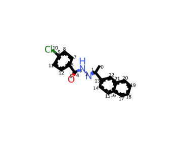 CC(=NNC(=O)c1ccc(Cl)cc1)c1ccc2ccccc2c1